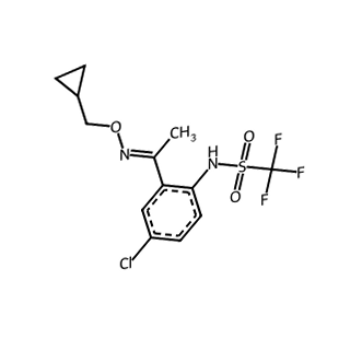 CC(=NOCC1CC1)c1cc(Cl)ccc1NS(=O)(=O)C(F)(F)F